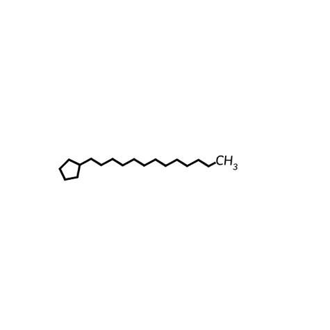 CCCCCCCCCCCCCC1CCCC1